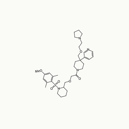 COc1cc(C)c(S(=O)(=O)N2CCCCC2COCC(=O)N2CCC(COCCN3CCCC3)(c3cccnc3)CC2)c(C)c1